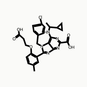 Cc1ccc(OCCC(=O)O)c(-c2nc3nc(C(=O)O)nc(NC(C)C4CC4)c3n2Cc2ccc(Cl)cc2)c1